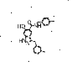 Cc1ccc(CNC(=O)c2cc3c(Cc4cccc(C)c4)n[nH]c3cc2O)cc1